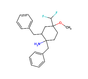 COC1(C(F)F)CCC(N)(Cc2ccccc2)C(Cc2ccccc2)C1